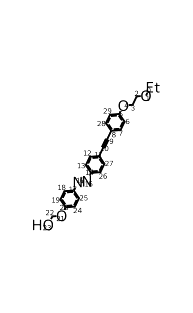 CCOCCOc1ccc(C#Cc2ccc(N=Nc3ccc(OCO)cc3)cc2)cc1